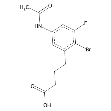 CC(=O)Nc1cc(F)c(Br)c(CCCC(=O)O)c1